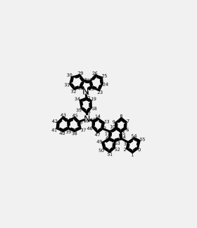 c1ccc(-c2c3ccccc3c(-c3ccc(N(c4ccc(-n5c6ccccc6c6ccccc65)cc4)c4ccc5ccccc5c4)cc3)c3ccccc23)cc1